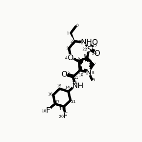 CC[C@@H]1COc2c(cn(C)c2C(=O)NC2CCC(F)C(F)C2)S(=O)(=O)N1